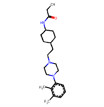 Cc1c(N2CCN(CCC3CCC(NC(=O)CC#N)CC3)CC2)cccc1C(F)(F)F